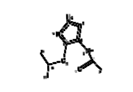 CC(=O)Nc1c[nH]nc1OC(C)C